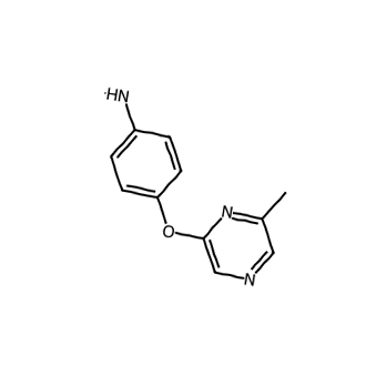 Cc1cncc(Oc2ccc([NH])cc2)n1